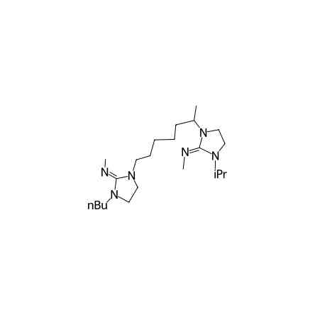 CCCCN1CCN(CCCCCC(C)N2CCN(C(C)C)C2=NC)C1=NC